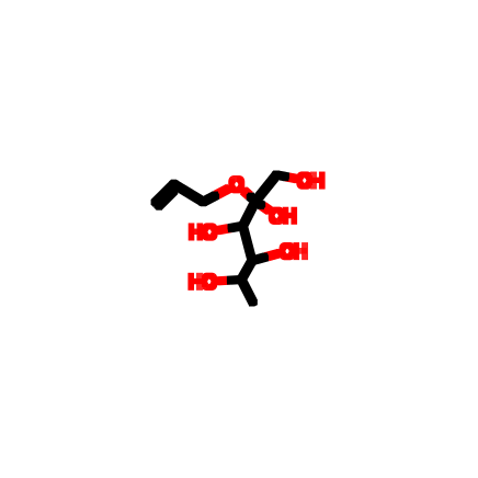 C=CCOC(O)(CO)C(O)C(O)C(C)O